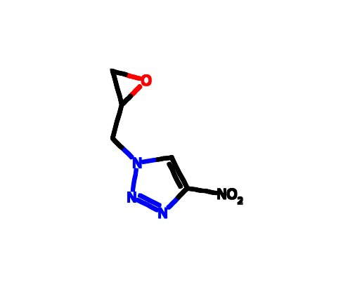 O=[N+]([O-])c1cn(CC2CO2)nn1